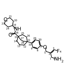 NCC(=CF)COc1ccc(C23CCCC(C(=O)NC4CCOCC4)(CC2)CC3)cc1